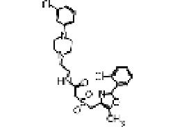 Cc1oc(-c2ccccc2Cl)nc1CS(=O)(=O)CC(=O)NCCN1CCN(c2cccc(Cl)c2)CC1